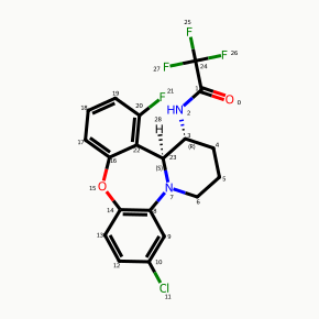 O=C(N[C@@H]1CCCN2c3cc(Cl)ccc3Oc3cccc(F)c3[C@@H]12)C(F)(F)F